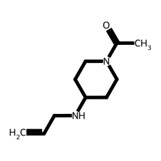 C=CCNC1CCN(C(C)=O)CC1